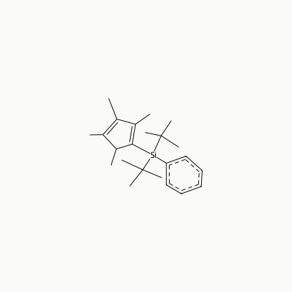 CC1=C(C)C(C)C([Si](c2ccccc2)(C(C)(C)C)C(C)(C)C)=C1C